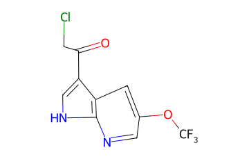 O=C(CCl)c1c[nH]c2ncc(OC(F)(F)F)cc12